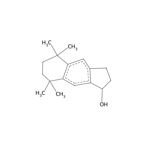 CC1(C)CCC(C)(C)c2cc3c(cc21)CCC3O